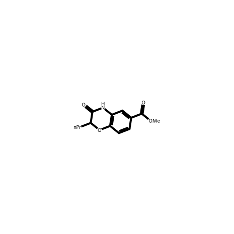 CCCC1Oc2ccc(C(=O)OC)cc2NC1=O